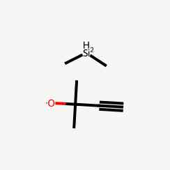 C#CC(C)(C)[O].C[SiH2]C